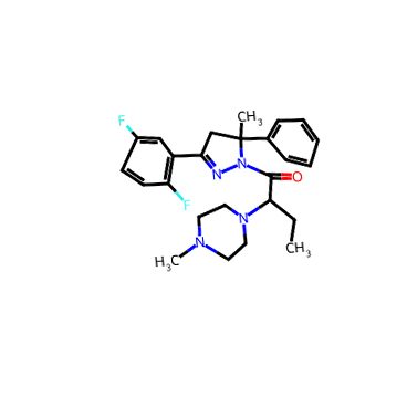 CCC(C(=O)N1N=C(c2cc(F)ccc2F)CC1(C)c1ccccc1)N1CCN(C)CC1